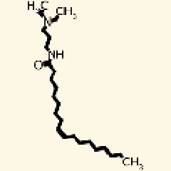 CCCCCCCC/C=C\CCCCCCCC(=O)NCCCN(CC)CC